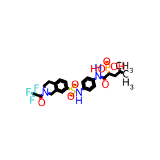 CC(C)CC(C(=O)Nc1ccc(NS(=O)(=O)c2ccc3c(c2)CN(C(=O)C(F)(F)F)CC3)cc1)P(=O)(O)O